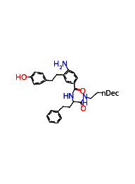 CCCCCCCCCCCCNC(=O)C(CCc1ccccc1)NC(=O)c1ccc(N)c(CCc2ccc(O)cc2)c1